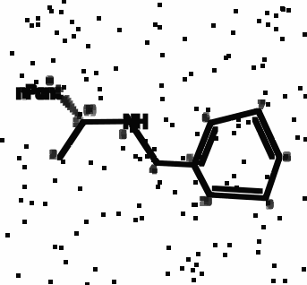 CCCCC[C@@H](C)NCc1ccccc1